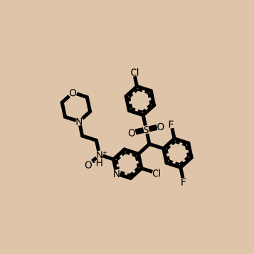 O=S(=O)(c1ccc(Cl)cc1)C(c1cc(F)ccc1F)c1cc([NH+]([O-])CCN2CCOCC2)ncc1Cl